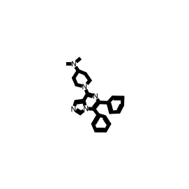 CN(C)C1CCN(c2nc(-c3ccccc3)c(-c3ccccc3)n3cncc23)CC1